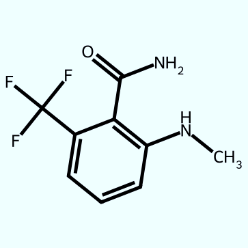 CNc1cccc(C(F)(F)F)c1C(N)=O